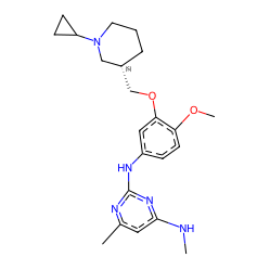 CNc1cc(C)nc(Nc2ccc(OC)c(OC[C@H]3CCCN(C4CC4)C3)c2)n1